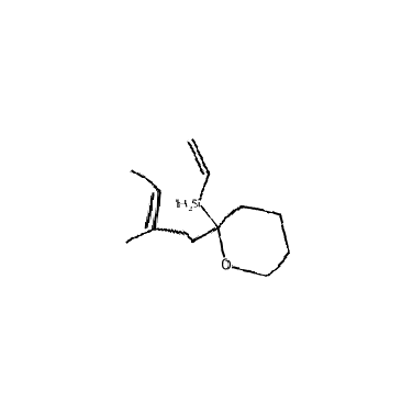 C=C[SiH2]C1(CC(C)=CC)CCCCO1